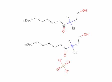 CCCCCCCCCCCCCCCC(=O)[N+](C)(CC)CCO.CCCCCCCCCCCCCCCC(=O)[N+](C)(CC)CCO.O=S(=O)([O-])[O-]